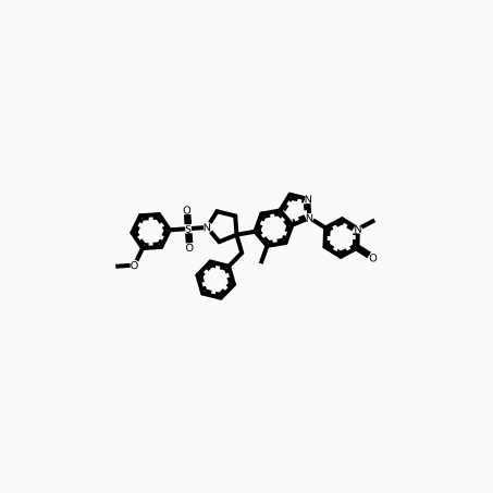 COc1cccc(S(=O)(=O)N2CCC(Cc3ccccc3)(c3cc4cnn(-c5ccc(=O)n(C)c5)c4cc3C)C2)c1